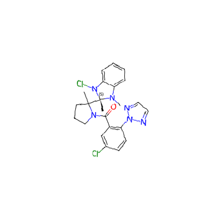 CN1c2ccccc2N(Cl)[C@@]1(C)C1(C)CCCN1C(=O)c1cc(Cl)ccc1-n1nccn1